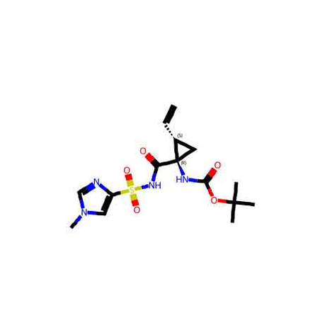 C=C[C@@H]1C[C@]1(NC(=O)OC(C)(C)C)C(=O)NS(=O)(=O)c1cn(C)cn1